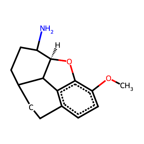 COc1ccc2c3c1O[C@@H]1C(N)CCC(CC2)C31